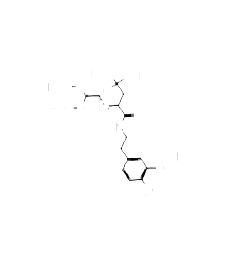 COc1ccc(CCNC(=O)C(CC(C)(C)C)NCC(OC)OC)cc1OC